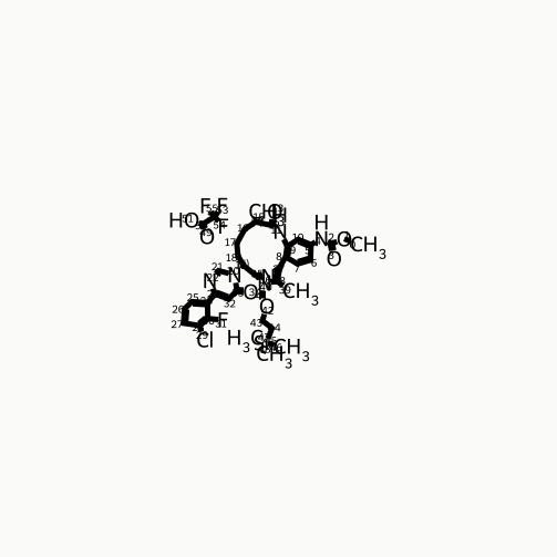 COC(=O)Nc1ccc2c(c1)NC(=O)[C@H](C)CCC[C@H](n1cnc(-c3cccc(Cl)c3F)cc1=O)c1nc-2c(C)n1COCC[Si](C)(C)C.O=C(O)C(F)(F)F